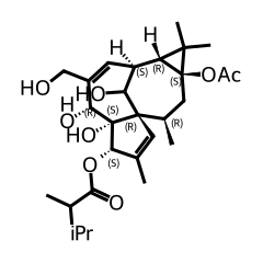 CC(=O)O[C@@]12C[C@@H](C)[C@]34C=C(C)[C@H](OC(=O)C(C)C(C)C)[C@@]3(O)[C@H](O)C(CO)=C[C@H](C4O)[C@@H]1C2(C)C